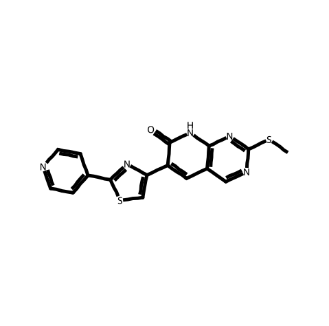 CSc1ncc2cc(-c3csc(-c4ccncc4)n3)c(=O)[nH]c2n1